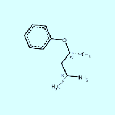 C[C@H](C[C@@H](C)N)Oc1ccccc1